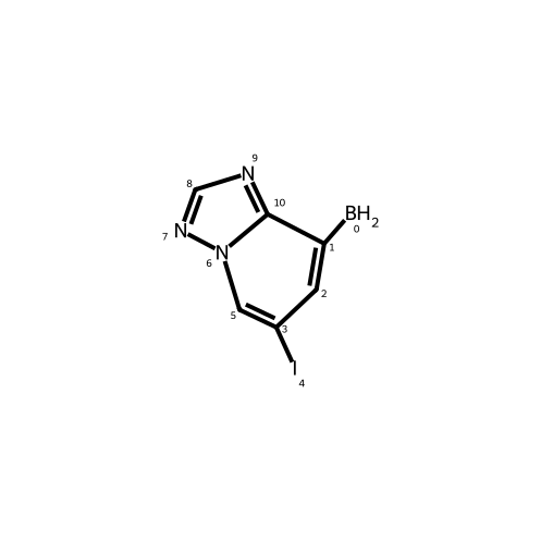 Bc1cc(I)cn2ncnc12